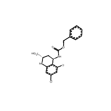 O=C(N[C@@H]1C[C@@H](C(=O)O)Nc2cc(Cl)cc(Cl)c21)OCc1ccccc1